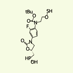 CC(C)(C)OC(=O)N(CCOS)c1ccc(N2C[C@H](CPO)OC2=O)cc1F